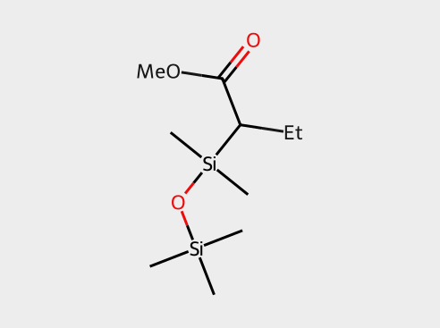 CCC(C(=O)OC)[Si](C)(C)O[Si](C)(C)C